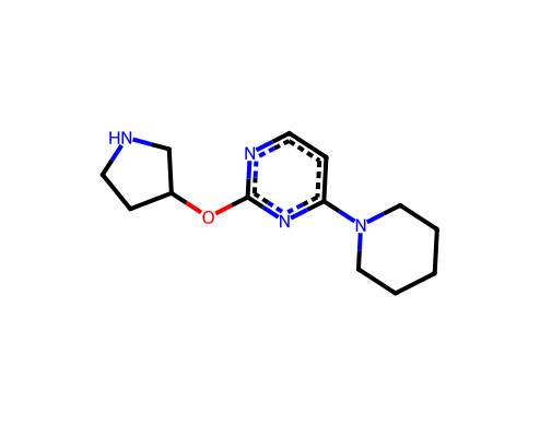 c1cc(N2CCCCC2)nc(OC2CCNC2)n1